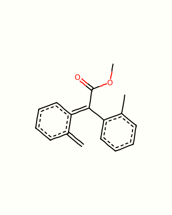 C=c1cccc/c1=C(\C(=O)OC)c1ccccc1C